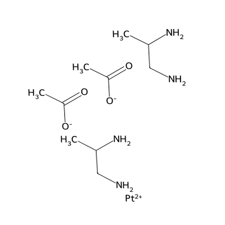 CC(=O)[O-].CC(=O)[O-].CC(N)CN.CC(N)CN.[Pt+2]